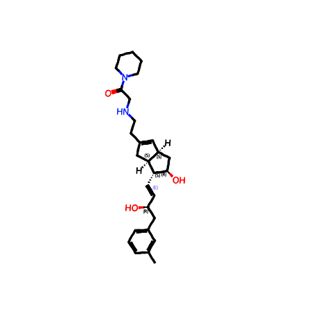 Cc1cccc(C[C@@H](O)/C=C/[C@@H]2[C@H]3CC(CCNCC(=O)N4CCCCC4)=C[C@H]3C[C@H]2O)c1